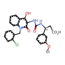 CCOc1cccc([C@H](CC(=O)O)NC(=O)Nc2c(O)c3ccccc3n(Cc3ccccc3Cl)c2=O)c1